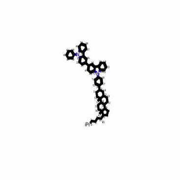 CC(C)CCC[C@@H](C)C1CCC2C3CCC4CC(c5ccc(-n6c7ccccc7c7cc(-c8ccc9c(c8)c8ccccc8n9-c8ccccc8)ccc76)cc5)CCC4(C)C3CCC21C